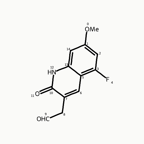 COc1cc(F)c2cc(CC=O)c(=O)[nH]c2c1